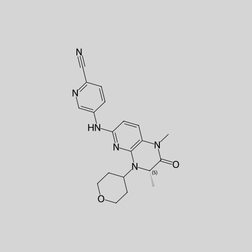 C[C@H]1C(=O)N(C)c2ccc(Nc3ccc(C#N)nc3)nc2N1C1CCOCC1